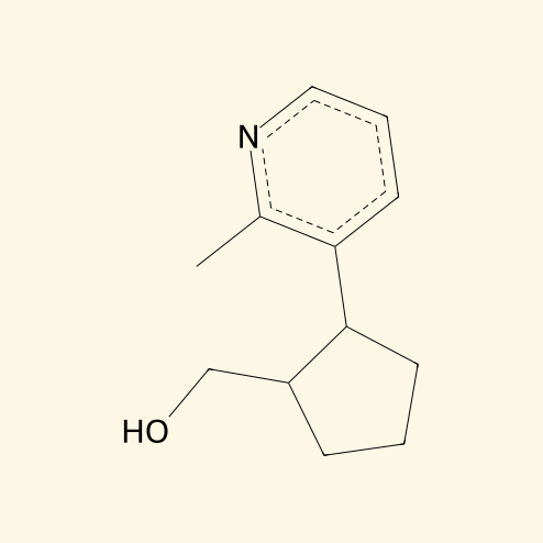 Cc1ncccc1C1CCCC1CO